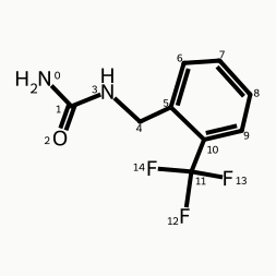 NC(=O)NCc1ccccc1C(F)(F)F